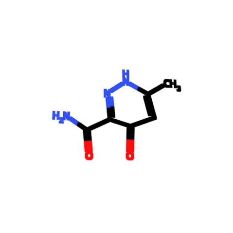 Cc1cc(=O)c(C(N)=O)n[nH]1